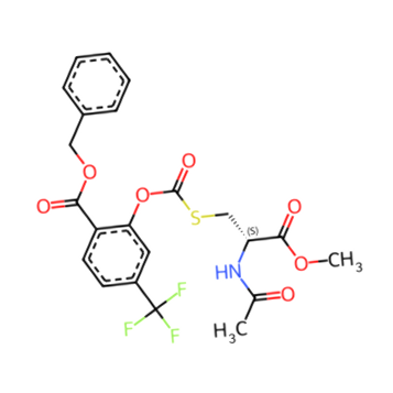 COC(=O)[C@@H](CSC(=O)Oc1cc(C(F)(F)F)ccc1C(=O)OCc1ccccc1)NC(C)=O